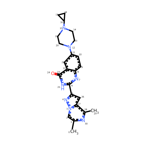 Cc1cn2nc(-c3nc4ccc(N5CCN(C6CC6)CC5)cc4c(=O)[nH]3)cc2c(C)n1